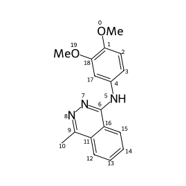 COc1ccc(Nc2nnc(C)c3ccccc23)cc1OC